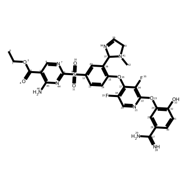 CCOC(=O)c1cnc(S(=O)(=O)c2ccc(Oc3c(F)cnc(Oc4cc(C(=N)N)ccc4O)c3F)c(C3N=CCN3C)c2)nc1N